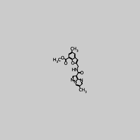 COC(=O)c1cc(C)cc2cc(CNC(=O)c3cnn4cc(C)cnc34)oc12